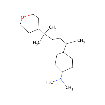 CC(CCC(C)(C)C1CCOCC1)C1CCC(N(C)C)CC1